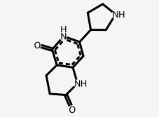 O=C1CCc2c(cc(C3CCNC3)[nH]c2=O)N1